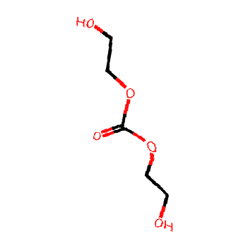 O=C(OCCO)OCCO